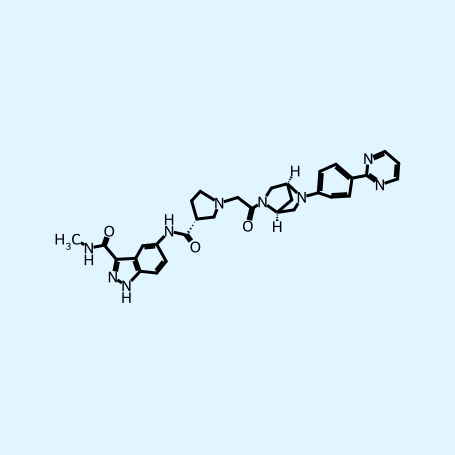 CNC(=O)c1n[nH]c2ccc(NC(=O)[C@@H]3CCN(CC(=O)N4C[C@@H]5C[C@H]4CN5c4ccc(-c5ncccn5)cc4)C3)cc12